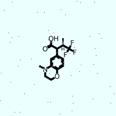 C[C@H](C(C(=O)O)c1ccc2c(c1)N(C)CCO2)C(F)(F)F